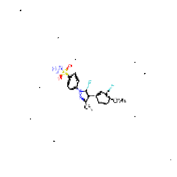 COc1ccc(-c2c(C(F)(F)F)nn(-c3ccc(S(N)(=O)=O)cc3)c2F)cc1F